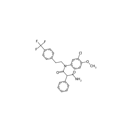 COc1ccc(N(CCc2ccc(C(F)(F)F)cc2)C(=O)C(C(N)=O)c2ccccc2)cc1Cl